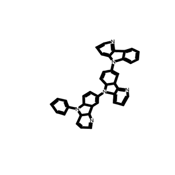 C1=CC2C(N=C1)C1C=C(N3c4cccnc4C4C=C(n5c6ccccc6c6ncccc65)C=CC43)C=CC1N2c1ccccc1